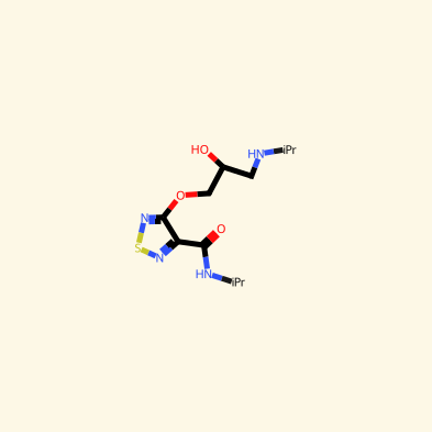 CC(C)NCC(O)COc1nsnc1C(=O)NC(C)C